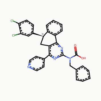 O=C(O)N(Cc1ccccc1)c1nc(-c2ccncc2)c2c(n1)-c1ccccc1[C@H](c1ccc(Cl)c(Cl)c1)C2